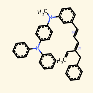 C=C/C(=C\C=C\c1cccc(N(C)c2ccc(N(c3ccccc3)c3ccccc3)cc2)c1)Cc1ccccc1